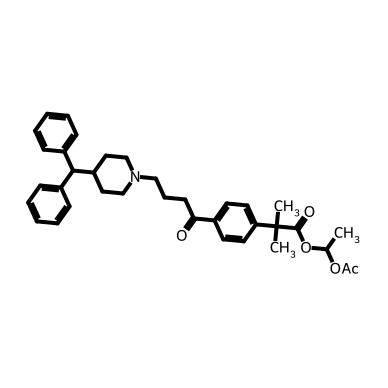 CC(=O)OC(C)OC(=O)C(C)(C)c1ccc(C(=O)CCCN2CCC(C(c3ccccc3)c3ccccc3)CC2)cc1